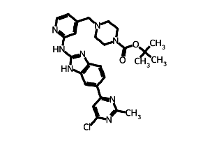 Cc1nc(Cl)cc(-c2ccc3nc(Nc4cc(CN5CCN(C(=O)OC(C)(C)C)CC5)ccn4)[nH]c3c2)n1